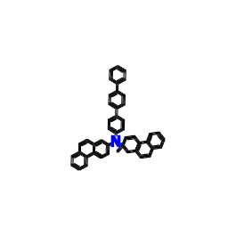 CC1(N(c2ccc(-c3ccc(-c4ccccc4)cc3)cc2)c2ccc3c(ccc4ccccc43)c2)C=Cc2c(ccc3ccccc23)C1